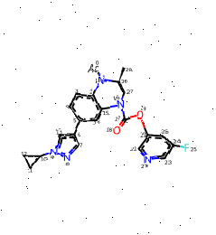 CC(=O)N1c2ccc(-c3cnn(C4CC4)c3)cc2N(C(=O)Oc2cncc(F)c2)C[C@@H]1C